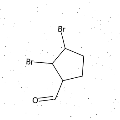 O=CC1CCC(Br)C1Br